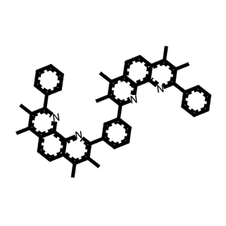 Cc1c(-c2ccccc2)nc2c(ccc3c(C)c(C)c(-c4cccc(-c5nc6c(ccc7c(C)c(C)c(-c8ccccc8)nc76)c(C)c5C)c4)nc32)c1C